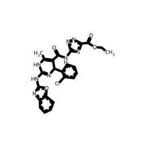 CCOC(=O)c1nnc(NC(=O)C2=C(C)NC(Nc3nc4ccccc4o3)=NC2c2ccccc2Cl)s1